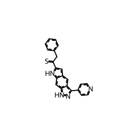 S=C(Cc1ccccc1)c1cc2cc3c(-c4ccncc4)n[nH]c3cc2[nH]1